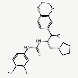 O=C(Nc1ccc(C(F)(F)F)c(F)c1)NC(CN1CCCC1)C(O)c1ccc2c(c1)OCCO2